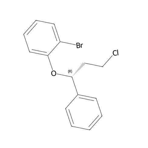 ClCC[C@@H](Oc1ccccc1Br)c1ccccc1